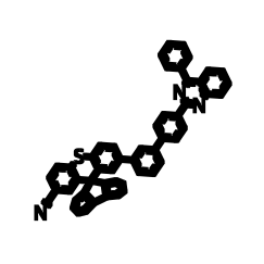 N#Cc1ccc2c(c1)C1(c3cc(-c4cccc(-c5ccc(-c6nc(-c7ccccc7)c7ccccc7n6)cc5)c4)ccc3S2)c2ccccc2-c2ccccc21